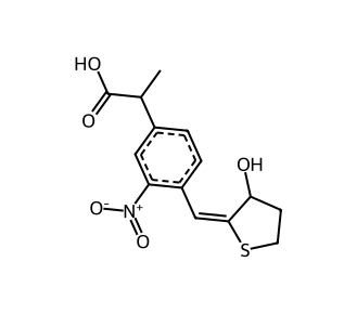 CC(C(=O)O)c1ccc(/C=C2/SCCC2O)c([N+](=O)[O-])c1